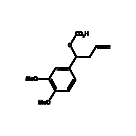 C=CCC(OC(=O)O)c1ccc(OC)c(OC)c1